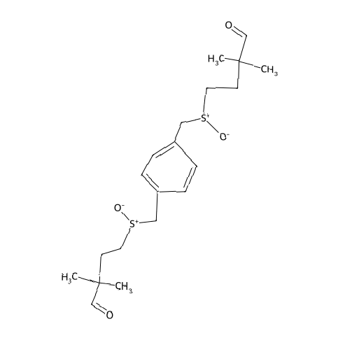 CC(C)(C=O)CC[S+]([O-])Cc1ccc(C[S+]([O-])CCC(C)(C)C=O)cc1